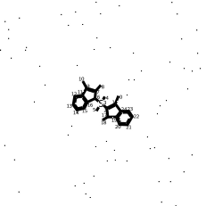 CC1=C(S(C)(C)C2C(C)=C(C)c3ccccc32)C(C)c2ccccc21